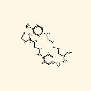 CCCN(CCC)CCCCCOc1ccc(C#N)cc1.N#Cc1ccc(OCCCN2CCCC2)cc1